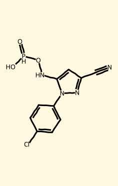 N#Cc1cc(NO[PH](=O)O)n(-c2ccc(Cl)cc2)n1